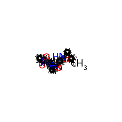 Cc1ccc(-c2ccccc2C(=O)Nc2ccc(C(=O)N3C[C@H]4CC(N5C(=O)c6ccccc6C5=O)CN4c4ccccc43)cc2)cc1